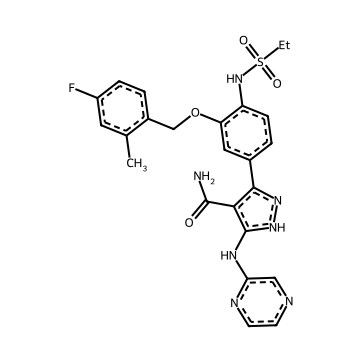 CCS(=O)(=O)Nc1ccc(-c2n[nH]c(Nc3cnccn3)c2C(N)=O)cc1OCc1ccc(F)cc1C